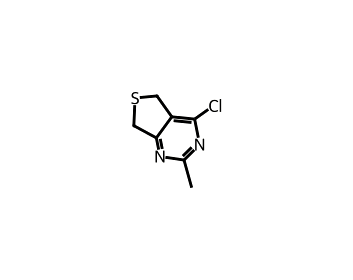 Cc1nc(Cl)c2c(n1)CSC2